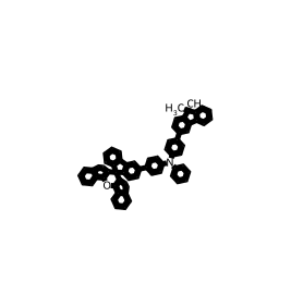 CC1(C)c2ccccc2-c2cc(-c3ccc(N(c4ccccc4)c4ccc(-c5ccc6c(c5)-c5ccccc5C65c6ccc7ccccc7c6Oc6c5ccc5ccccc65)cc4)cc3)ccc21